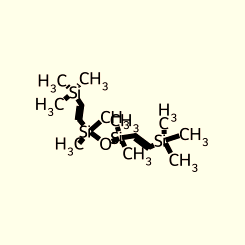 C[Si](C)(C)/C=C/[Si](C)(C)O[Si](C)(C)/C=C/[Si](C)(C)C